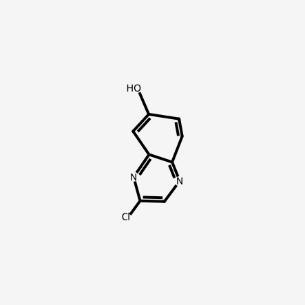 Oc1ccc2ncc(Cl)nc2c1